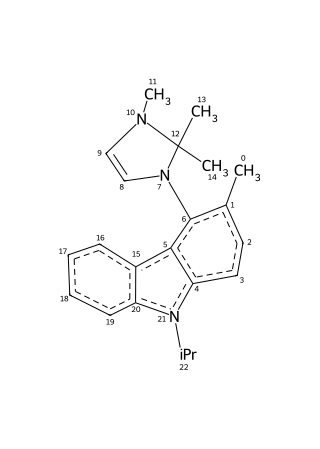 Cc1ccc2c(c1N1C=CN(C)C1(C)C)c1ccccc1n2C(C)C